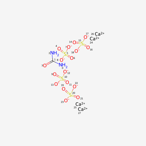 NC(N)=O.O=S(=O)([O-])[O-].O=S(=O)([O-])[O-].O=S(=O)([O-])[O-].O=S(=O)([O-])[O-].[Ca+2].[Ca+2].[Ca+2].[Ca+2]